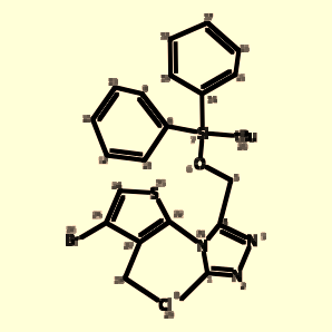 Cc1nnc(CO[Si](c2ccccc2)(c2ccccc2)C(C)(C)C)n1-c1scc(Br)c1CCl